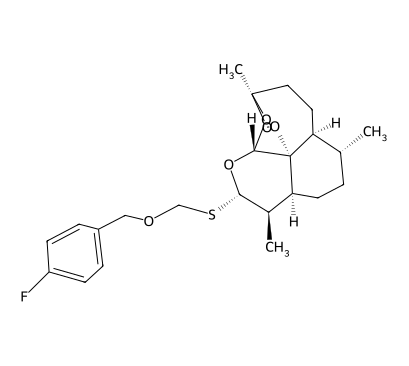 C[C@H]1[C@H](SCOCc2ccc(F)cc2)O[C@@H]2O[C@]3(C)CC[C@H]4[C@H](C)CC[C@@H]1[C@@]24OO3